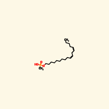 CCCC/C=C\C/C=C\CCCCCCCCCOP(C)(=O)O